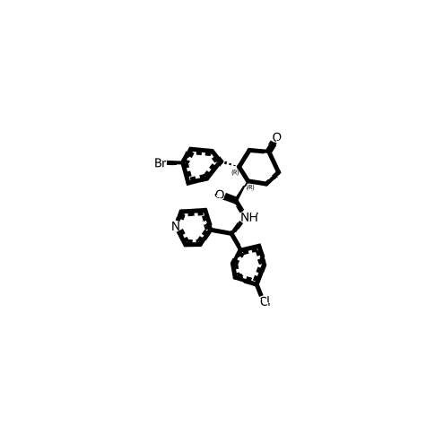 O=C1CC[C@@H](C(=O)NC(c2ccncc2)c2ccc(Cl)cc2)[C@H](c2ccc(Br)cc2)C1